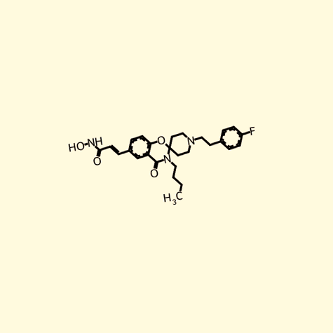 CCCCN1C(=O)c2cc(/C=C/C(=O)NO)ccc2OC12CCN(CCc1ccc(F)cc1)CC2